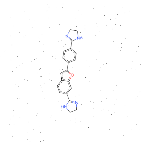 c1cc(-c2cc3ccc(C4=NCCN4)cc3o2)ccc1C1=NCCN1